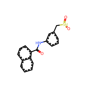 O=C(Nc1cccc(C[SH](=O)=O)c1)c1cccc2ccccc12